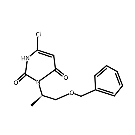 C[C@H](COCc1ccccc1)n1c(=O)cc(Cl)[nH]c1=O